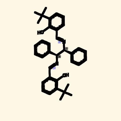 CC(C)(C)c1cccc(/C=N/[C@@H](c2ccccc2)[C@@H](/N=C/c2cccc(C(C)(C)C)c2O)c2ccccc2)c1O